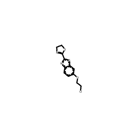 ClCCOc1ccc2nc(C3=NCCS3)sc2c1